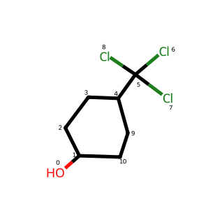 OC1CCC(C(Cl)(Cl)Cl)CC1